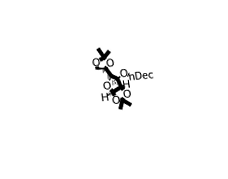 CCCCCCCCCCO[C@@H]1[C@H]2OC(C)(C)O[C@H]2O[C@@H]1[C@H]1COC(C)(C)O1